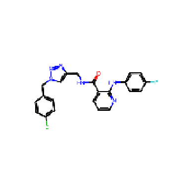 O=C(NCc1cn(Cc2ccc(Cl)cc2)nn1)c1cccnc1Nc1ccc(F)cc1